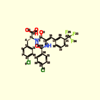 O=C(N[C@H](Cc1ccc(Cl)cc1)C(=O)O)/C(=C/c1cccc(C(F)(F)F)c1)NC(=O)c1ccc(Cl)cc1